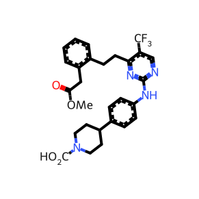 COC(=O)Cc1ccccc1CCc1nc(Nc2ccc(C3CCN(C(=O)O)CC3)cc2)ncc1C(F)(F)F